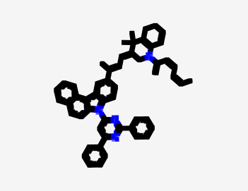 C=C(/C=C\C=C/C)N1C/C(=C\C=C(/C)c2ccc3c(c2)c2c4ccccc4ccc2n3-c2cc(-c3ccccc3)nc(-c3ccccc3)n2)C(C)(C)C2=C1C=CCC2